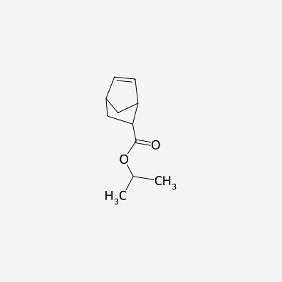 CC(C)OC(=O)C1CC2C=CC1C2